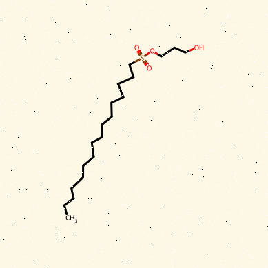 CCCCCCCCCCCCCCCCS(=O)(=O)OCCCO